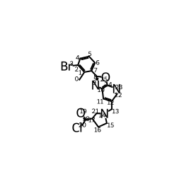 Cc1c(Br)cccc1-c1nc2cc(CN3CCC(C(=O)Cl)C3)cnc2o1